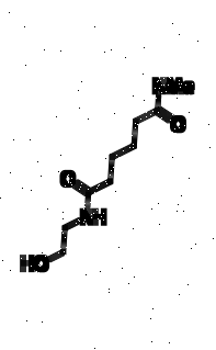 CNC(=O)CCCCC(=O)NCCO